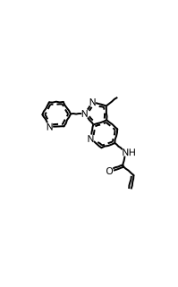 C=CC(=O)Nc1cnc2c(c1)c(C)nn2-c1cccnc1